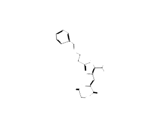 CC(C)c1[nH]c(CCOCc2ccccc2)nc1C=C1NC(=O)CNC1=O